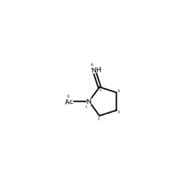 CC(=O)N1CCCC1=N